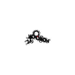 CCN(CC)C(=O)c1c(C)nn2c1CC(C1CCN(S(=O)(=O)c3ccc(N(C)C)cc3)CC1)C1(CCCCCCCCC1)C2